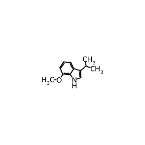 COc1cccc2c(C(C)C)c[nH]c12